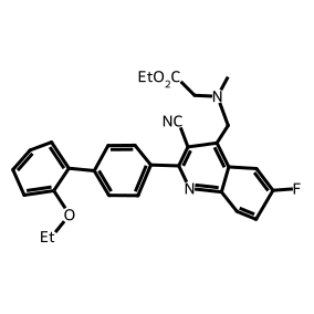 CCOC(=O)CN(C)Cc1c(C#N)c(-c2ccc(-c3ccccc3OCC)cc2)nc2ccc(F)cc12